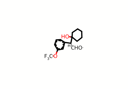 O=[C][C@H](c1cccc(OC(F)(F)F)c1)C1(O)CCCCC1